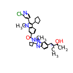 C=C(O)/C(C)=C/c1ccc2nc(C3(NC(=O)c4ccc5c(C6CCCC6)c(-c6ccnc(Cl)c6)n(C)c5c4)CCC3)n(C)c2c1